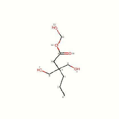 CCCC(CO)(CO)CC(=O)OCO